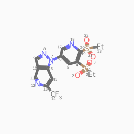 CCS(=O)(=O)c1cc(-n2ncc3cnc(C(F)(F)F)cc32)cnc1S(=O)(=O)CC